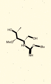 CO[C@@H]([C@H](CO)NC(=N)OC(C)(C)C)[C@@H](C)O